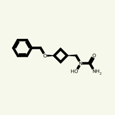 NC(=O)N(O)C[C@H]1C[C@@H](OCc2ccccc2)C1